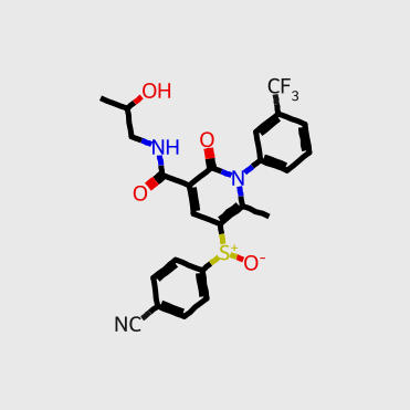 Cc1c([S+]([O-])c2ccc(C#N)cc2)cc(C(=O)NCC(C)O)c(=O)n1-c1cccc(C(F)(F)F)c1